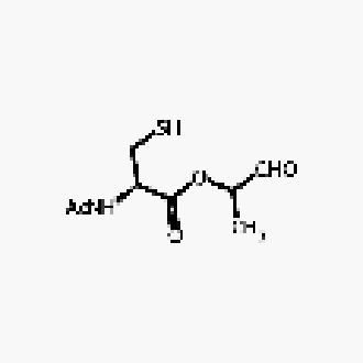 CC(=O)N[C@@H](CS)C(=O)OC(C)C=O